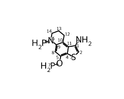 Nc1csc2c(OP)cc3c(c12)CCCN3P